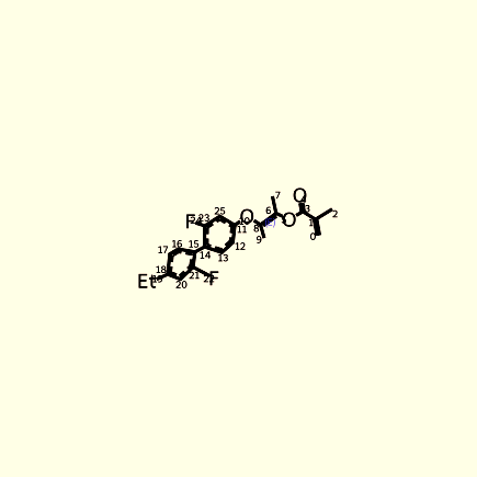 C=C(C)C(=O)O/C(C)=C(\C)Oc1ccc(-c2ccc(CC)cc2F)c(F)c1